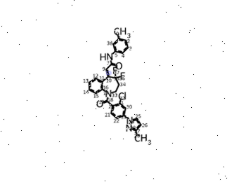 Cc1cccc(NC(=O)/C=C2/c3ccccc3N(C(=O)c3ccc(-n4ccc(C)n4)cc3Cl)CCC2(F)F)c1